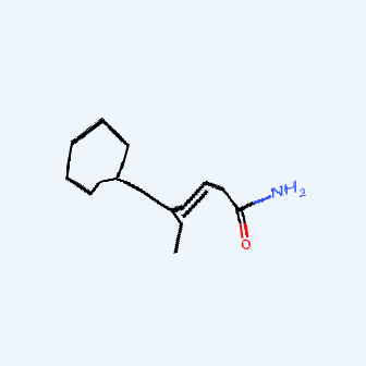 CC(=CC(N)=O)C1CCCCC1